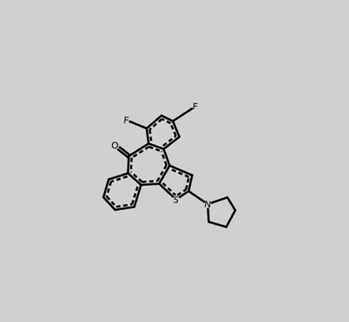 O=c1c2ccccc2c2sc(N3CCCC3)cc2c2cc(F)cc(F)c12